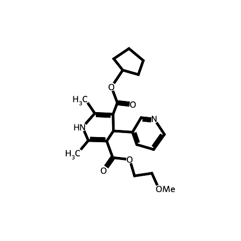 COCCOC(=O)C1=C(C)NC(C)=C(C(=O)OC2CCCC2)C1c1cccnc1